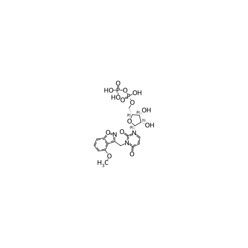 COc1cccc2onc(Cn3c(=O)ccn([C@@H]4O[C@H](COP(=O)(O)OP(=O)(O)O)[C@H](O)[C@@H]4O)c3=O)c12